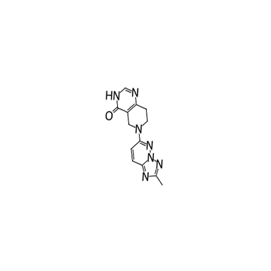 Cc1nc2ccc(N3CCc4nc[nH]c(=O)c4C3)nn2n1